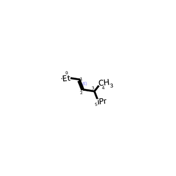 C[CH]/C=C/C(C)C(C)C